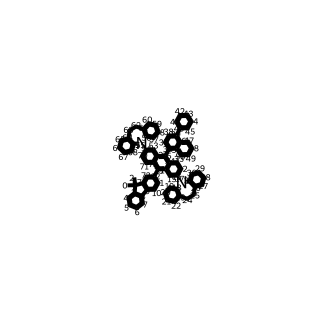 CC1(C)c2ccccc2-c2ccc(-c3c4cc(N5c6ccccc6CCc6ccccc65)ccc4c(-c4ccc(-c5ccccc5)c5ccccc45)c4cc(N5c6ccccc6CCc6ccccc65)ccc34)cc21